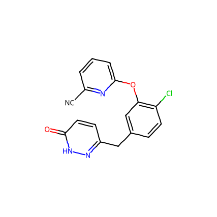 N#Cc1cccc(Oc2cc(Cc3ccc(=O)[nH]n3)ccc2Cl)n1